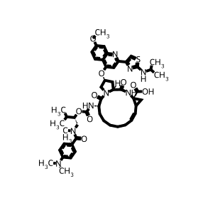 COc1ccc2c(O[C@@H]3C[C@H]4C(=O)N[C@]5(C(=O)O)CC5/C=C\CCCCC[C@H](NC(=O)O[C@H](CN(C)C(=O)c5ccc(N(C)C)cc5)C(C)C)C(=O)N4C3)cc(-c3csc(NC(C)C)n3)nc2c1